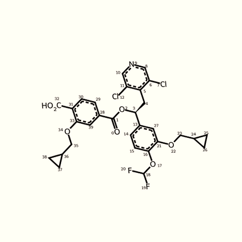 O=C(O[C@@H](Cc1c(Cl)cncc1Cl)c1ccc(OC(F)F)c(OCC2CC2)c1)c1ccc(C(=O)O)c(OCC2CC2)c1